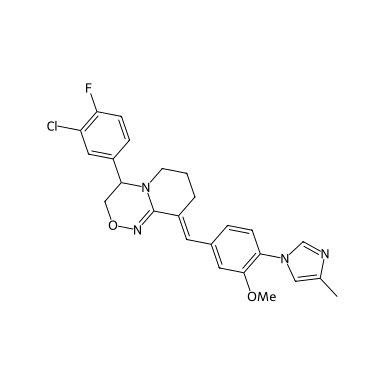 COc1cc(/C=C2\CCCN3C2=NOCC3c2ccc(F)c(Cl)c2)ccc1-n1cnc(C)c1